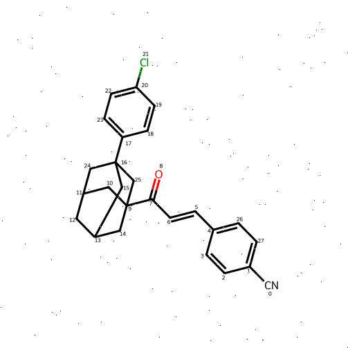 N#Cc1ccc(/C=C/C(=O)C23CC4CC(C2)CC(c2ccc(Cl)cc2)(C4)C3)cc1